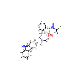 CC(=O)NC1c2ccccc2C2(CCN(Cc3ccc4[nH]c5ccccc5c4c3)CC2)C1O